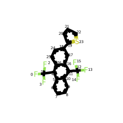 FC(F)(F)c1c2ccccc2c(C(F)(F)F)c2cc(-c3cccs3)ccc12